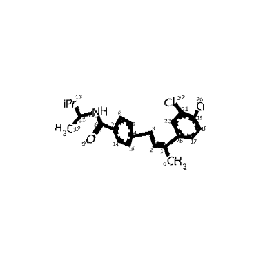 C/C(=C/Cc1ccc(C(=O)NC(C)C(C)C)cc1)c1ccc(Cl)c(Cl)c1